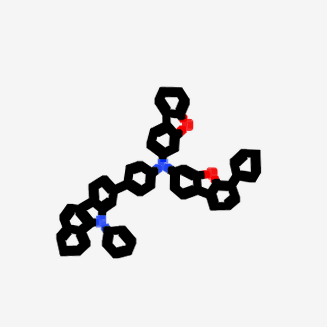 c1ccc(-c2cccc3c2oc2cc(N(c4ccc(-c5ccc6c7ccc8ccccc8c7n(-c7ccccc7)c6c5)cc4)c4ccc5c(c4)oc4ccccc45)ccc23)cc1